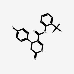 O=C1C[C@@H](c2ccc(F)cc2)C(C(=O)Nc2ccccc2C(F)(F)F)=CN1